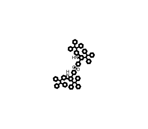 O=S(=O)(c1ccc(-c2cc(C(=C(c3ccccc3)c3ccccc3)c3ccccc3)cc3c2[nH]c2ccc(C(=C(c4ccccc4)c4ccccc4)c4ccccc4)cc23)cc1)c1ccc(-c2cc(C(=C(c3ccccc3)c3ccccc3)c3ccccc3)cc3c2[nH]c2ccc(C(=C(c4ccccc4)c4ccccc4)c4ccccc4)cc23)cc1